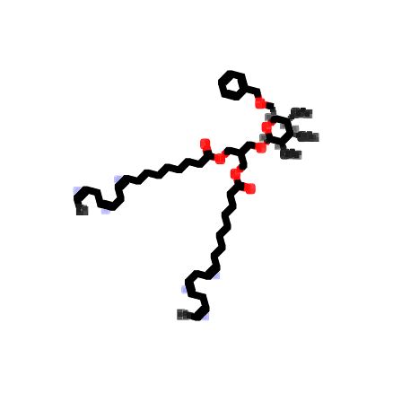 CC/C=C\C/C=C\C/C=C\CCCCCCCC(=O)OCC(COC(=O)CCCCCCC/C=C\C/C=C\C/C=C\CC)CO[C@@H]1O[C@H](COCc2ccccc2)[C@H](OC(C)=O)[C@H](OC(C)=O)[C@H]1OC(C)=O